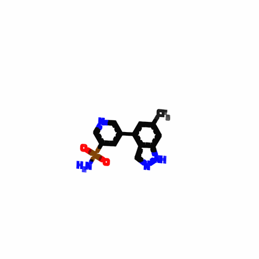 NS(=O)(=O)c1cncc(-c2cc(C(F)(F)F)cc3[nH]ncc23)c1